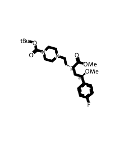 COC(=O)[C@@H](CCN1CCN(C(=O)OC(C)(C)C)CC1)C[C@@H](OC)c1ccc(F)cc1